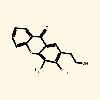 Cc1c(CCO)cc2c(=O)c3ccccc3sc2c1C